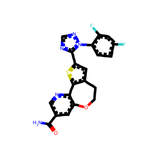 NC(=O)c1cnc2c(c1)OCCc1cc(-c3ncnn3-c3ccc(F)cc3F)sc1-2